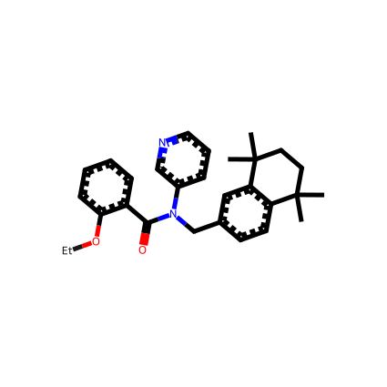 CCOc1ccccc1C(=O)N(Cc1ccc2c(c1)C(C)(C)CCC2(C)C)c1cccnc1